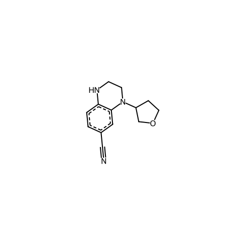 N#Cc1ccc2c(c1)N(C1CCOC1)CCN2